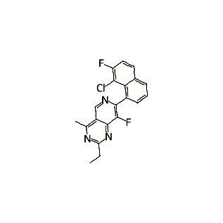 CCc1nc(C)c2cnc(-c3cccc4ccc(F)c(Cl)c34)c(F)c2n1